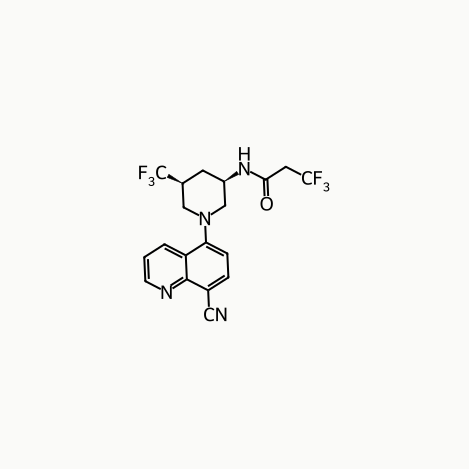 N#Cc1ccc(N2C[C@H](NC(=O)CC(F)(F)F)C[C@H](C(F)(F)F)C2)c2cccnc12